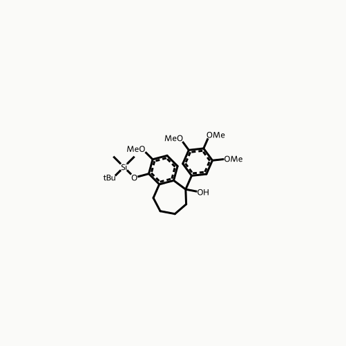 COc1cc(C2(O)CCCCc3c2ccc(OC)c3O[Si](C)(C)C(C)(C)C)cc(OC)c1OC